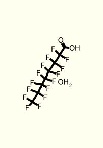 O.O=C(O)C(F)(F)C(F)(F)C(F)(F)C(F)(F)C(F)(F)C(F)(F)C(F)(F)F